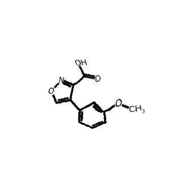 COc1cccc(-c2conc2C(=O)O)c1